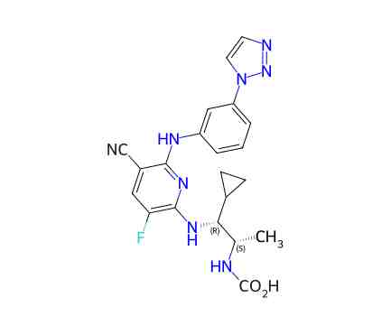 C[C@H](NC(=O)O)[C@H](Nc1nc(Nc2cccc(-n3ccnn3)c2)c(C#N)cc1F)C1CC1